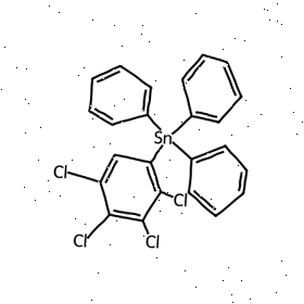 Clc1c[c]([Sn]([c]2ccccc2)([c]2ccccc2)[c]2ccccc2)c(Cl)c(Cl)c1Cl